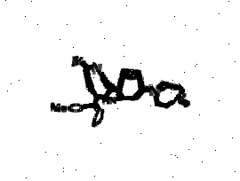 COC(=O)c1cc(Br)nc2c1[nH]c1cc(N3CCN(C)CC3)ccc12